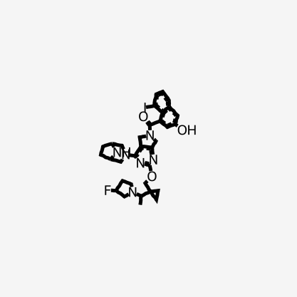 CC(N1CCC(F)C1)C1(COc2nc3c(c(N4CC5CCC(C4)N5)n2)CN(C(=O)c2cc(O)cc4cccc(I)c24)C3)CC1